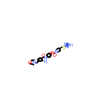 O=C(Nc1ccc(OC(=O)N2CCC(CSc3nc[nH]n3)CC2)cc1)c1ccc(CN2CCOCC2)cc1